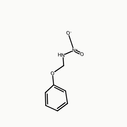 O=[N+]([O-])NCOc1ccccc1